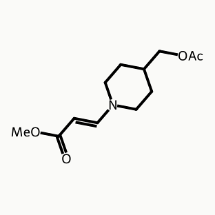 COC(=O)/C=C/N1CCC(COC(C)=O)CC1